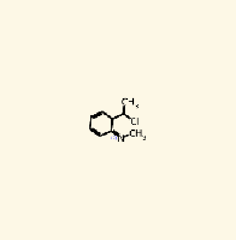 C/N=C1/C=CC=CC1C(C)Cl